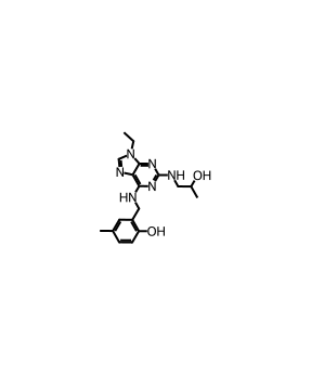 CCn1cnc2c(NCc3cc(C)ccc3O)nc(NCC(C)O)nc21